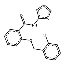 O=C(Nc1cccs1)c1ccccc1OCc1ccccc1Cl